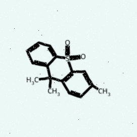 Cc1ccc2c(c1)S(=O)(=O)c1ccccc1C2(C)C